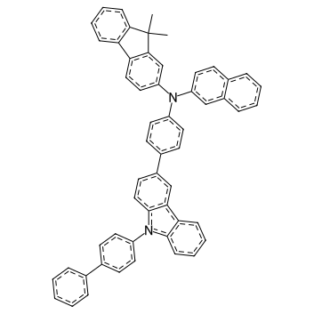 CC1(C)c2ccccc2-c2ccc(N(c3ccc(-c4ccc5c(c4)c4ccccc4n5-c4ccc(-c5ccccc5)cc4)cc3)c3ccc4ccccc4c3)cc21